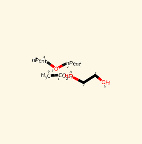 CC(=O)O.CCCCCOCCCCC.OCCO